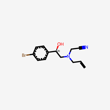 C=CCN(CC#N)C[C@H](O)c1ccc(Br)cc1